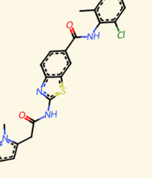 Cc1cccc(Cl)c1NC(=O)c1ccc2nc(NC(=O)Cc3cccn3C)sc2c1